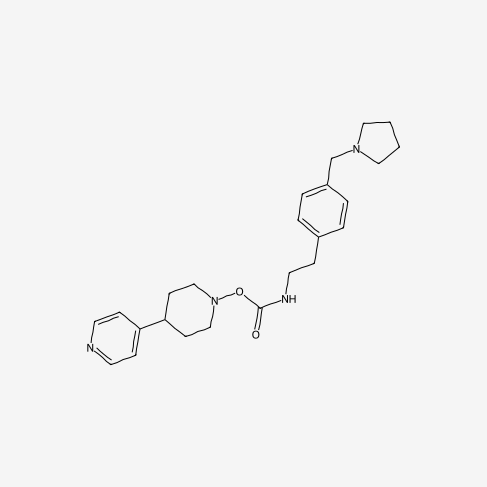 O=C(NCCc1ccc(CN2CCCC2)cc1)ON1CCC(c2ccncc2)CC1